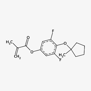 C=C(C)C(=O)Oc1cc(F)c(OC2(C)CCCC2)c(F)c1